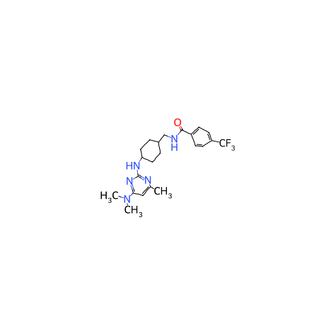 Cc1cc(N(C)C)nc(NC2CCC(CNC(=O)c3ccc(C(F)(F)F)cc3)CC2)n1